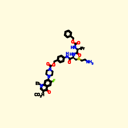 CCn1cc(C(=O)O)c(=O)c2cc(F)c(N3CCN(C(=O)OCc4ccc(NC(=O)[C@H](CSCCN)NC(=O)[C@@H](NC(=O)OCc5ccccc5)C(C)C)cc4)CC3)cc21